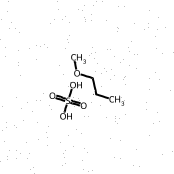 C[CH]COC.O=S(=O)(O)O